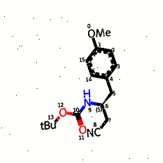 COc1ccc(C[C@@H](CC#N)NC(=O)OC(C)(C)C)cc1